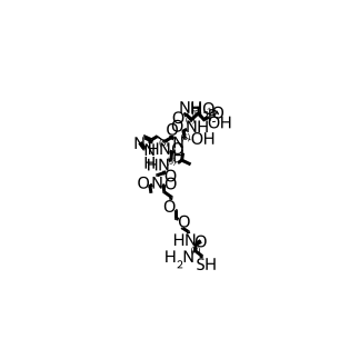 CC(=O)N(CC(=O)N[C@@H](CC(C)C)C(=O)N[C@@H](Cc1cnc[nH]1)C(=O)N[C@@H](CO)C(=O)N[C@H](C(N)=O)[C@@H](C)CP(=O)(O)O)C(=O)CCOCCOCCNC(=O)[C@@H](N)CS